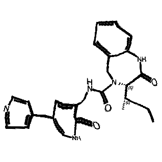 CC[C@H](C)[C@H]1C(=O)Nc2ccccc2CN1C(=O)Nc1cc(-c2ccncc2)c[nH]c1=O